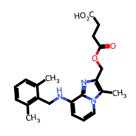 Cc1cccc(C)c1CNc1cccn2c(C)c(COC(=O)CCC(=O)O)nc12